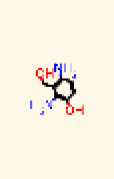 Nc1ccc(O)c(N)c1CO